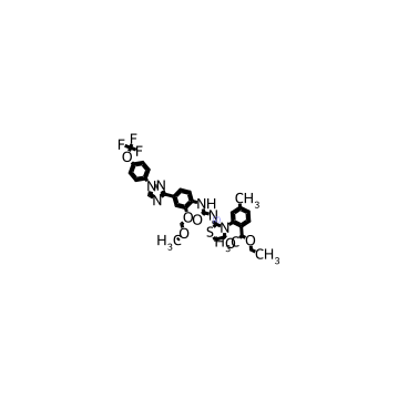 CCOC(C)c1ccc(C)cc1N1C(=O)CS/C1=N\C(=O)Nc1ccc(-c2ncn(-c3ccc(OC(F)(F)F)cc3)n2)cc1OCOC